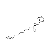 CCCCCCCCCCCCCCCCCC(=O)OCc1ccco1